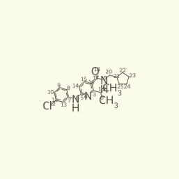 CC(C)c1nc(Nc2cccc(Cl)c2)ccc1C(=O)NCC1CCCC1